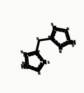 c1nc(Cc2nc[nH]n2)n[nH]1